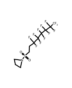 O=S(=O)(CCC(F)(F)C(F)(F)C(F)(F)C(F)(F)C(F)(F)C(F)(F)F)N1CCC1